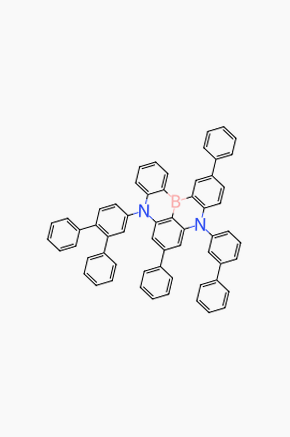 c1ccc(-c2cccc(N3c4ccc(-c5ccccc5)cc4B4c5ccccc5N(c5ccc(-c6ccccc6)c(-c6ccccc6)c5)c5cc(-c6ccccc6)cc3c54)c2)cc1